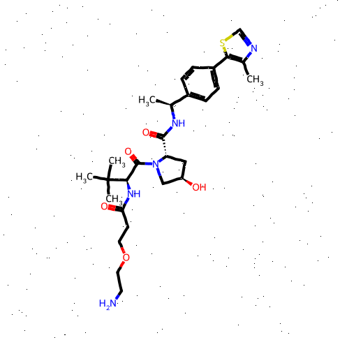 Cc1ncsc1-c1ccc([C@H](C)NC(=O)[C@@H]2C[C@@H](O)CN2C(=O)[C@@H](NC(=O)CCOCCN)C(C)(C)C)cc1